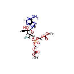 C#C[C@@]1(O)C[C@@](CF)(COP(=O)(OCOC(=O)OC(C)C)OCOC(=O)OC(C)C)O[C@H]1n1cnc2c(N)ncnc21